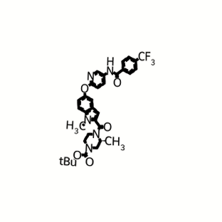 C[C@@H]1CN(C(=O)OC(C)(C)C)CCN1C(=O)c1cc2cc(Oc3ccc(NC(=O)c4ccc(C(F)(F)F)cc4)cn3)ccc2n1C